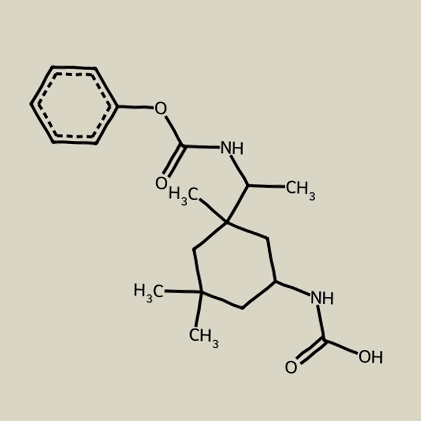 CC(NC(=O)Oc1ccccc1)C1(C)CC(NC(=O)O)CC(C)(C)C1